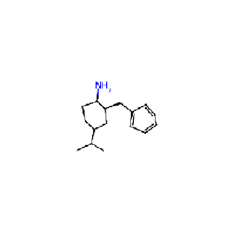 CC(C)C1CCC(N)[C@@H](Cc2ccccc2)C1